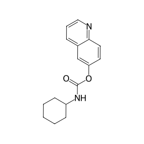 O=C(NC1CCCCC1)Oc1ccc2ncccc2c1